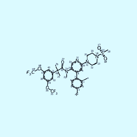 Cc1cc(F)ccc1-c1cc(N2CCN(S(C)(=O)=O)CC2)ncc1N(C)C(=O)C(C)(C)c1cc(OC(F)(F)F)cc(OC(F)(F)F)c1